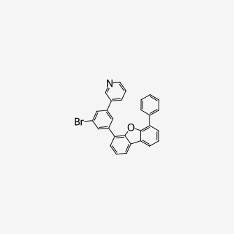 Brc1cc(-c2cccnc2)cc(-c2cccc3c2oc2c(-c4ccccc4)cccc23)c1